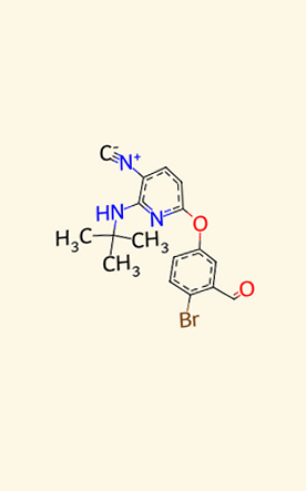 [C-]#[N+]c1ccc(Oc2ccc(Br)c(C=O)c2)nc1NC(C)(C)C